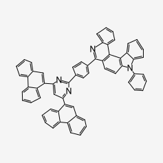 c1ccc(-n2c3ccccc3c3c4c(ccc32)c(-c2ccc(-c3nc(-c5cc6ccccc6c6ccccc56)cc(-c5cc6ccccc6c6ccccc56)n3)cc2)nc2ccccc24)cc1